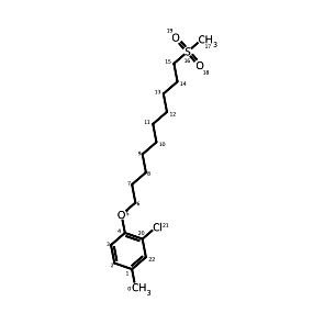 Cc1ccc(OCCCCCCCCCCS(C)(=O)=O)c(Cl)c1